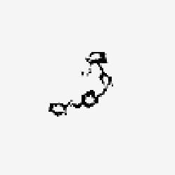 Nc1ncccc1C1C=NN(Cc2ccc(COc3ccccn3)cc2)C1